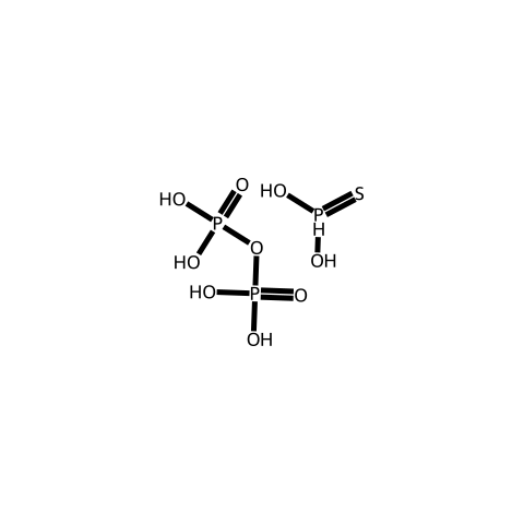 O=P(O)(O)OP(=O)(O)O.O[PH](O)=S